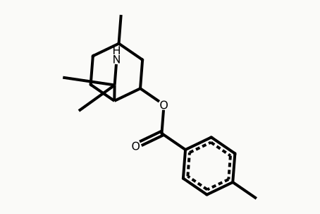 Cc1ccc(C(=O)OC2CC3(C)CCC2C(C)(C)N3)cc1